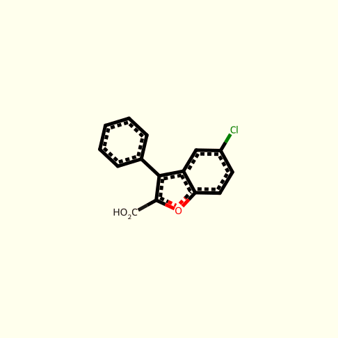 O=C(O)c1oc2ccc(Cl)cc2c1-c1ccccc1